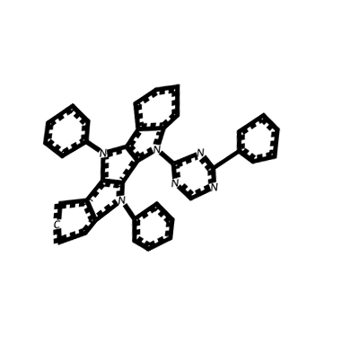 c1ccc(-c2ncnc(-n3c4ccccc4c4c3c3c(c5ccccc5n3-c3ccccc3)n4-c3ccccc3)n2)cc1